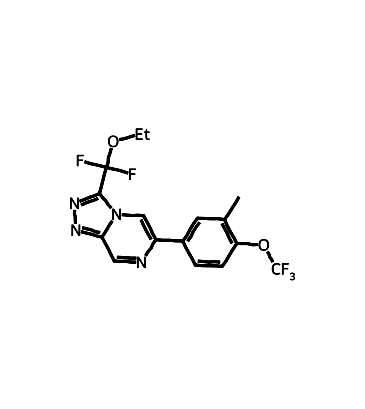 CCOC(F)(F)c1nnc2cnc(-c3ccc(OC(F)(F)F)c(C)c3)cn12